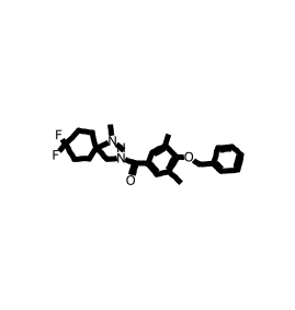 Cc1cc(C(=O)NCC2(N(C)C)CCC(F)(F)CC2)cc(C)c1OCc1ccccc1